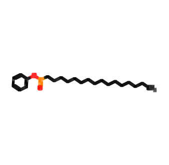 CCCCCCCCCCCCCCCC[PH](=O)Oc1ccccc1